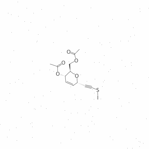 CC(=O)OC[C@H]1O[C@H](C#CSI)C=C[C@@H]1OC(C)=O